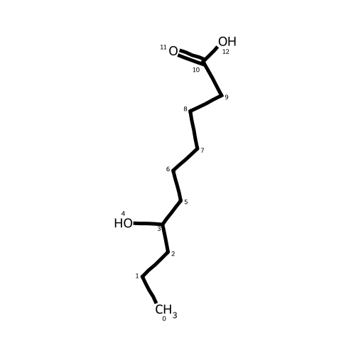 CCCC(O)CCCCCC(=O)O